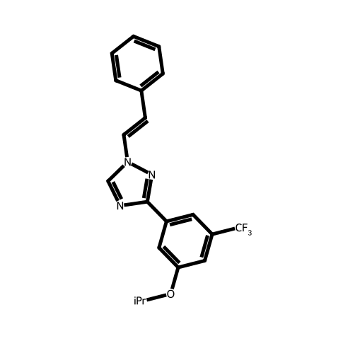 CC(C)Oc1cc(-c2ncn(C=Cc3ccccc3)n2)cc(C(F)(F)F)c1